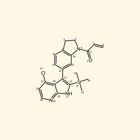 C=CC(=O)N1CCc2ccc(-c3c([Si](C)(C)C)[nH]c4nccc(Cl)c34)cc21